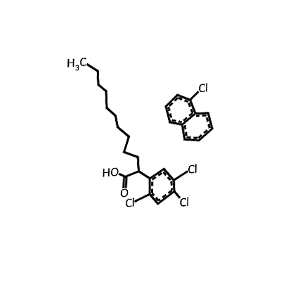 CCCCCCCCCCC(C(=O)O)c1cc(Cl)c(Cl)cc1Cl.Clc1cccc2ccccc12